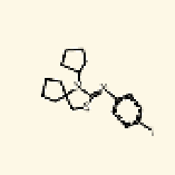 Ic1ccc(N=C2SCC3(CCCC3)N2C2CCCC2)cc1